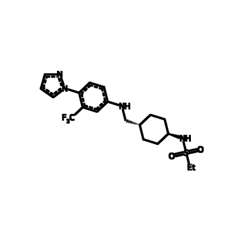 CCS(=O)(=O)N[C@H]1CC[C@H](CNc2ccc(-n3cccn3)c(C(F)(F)F)c2)CC1